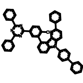 Cc1ccc(-c2nc(-c3ccccc3)nc(-c3ccccc3)n2)cc1-c1cccc2c1c1cc(-c3ccccc3)ccc1n2-c1ccc(-c2ccccc2)cc1